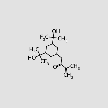 C=C(C)C(=O)CC1CC(C(C)(O)C(F)(F)F)CC(C(C)(O)C(F)(F)F)C1